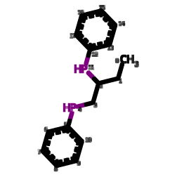 CCC(CPc1ccccc1)Pc1ccccc1